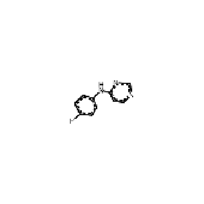 Fc1ccc(Nc2ccncn2)cc1